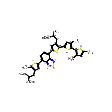 CCCCCCCCCCC(CCCCCCCC)Cc1cc(-c2ccc(-c3cc(CC(CCCCCCCC)CCCCCCCCCC)c(-c4cc(C)c(-c5sc(C)cc5C)s4)s3)c3nsnc23)sc1C